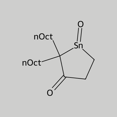 CCCCCCCC[C]1(CCCCCCCC)C(=O)C[CH2][Sn]1=[O]